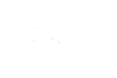 Cc1cccc2c1SCc1ccccc1C2N1CC2(CC2)C(=O)c2c(O)c(=O)ccn21